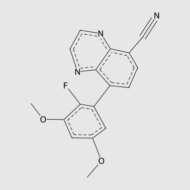 COc1cc(OC)c(F)c(-c2ccc(C#N)c3nccnc23)c1